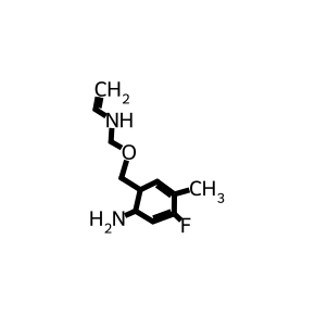 C=CNCOCC1C=C(C)C(F)=CC1N